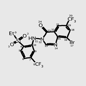 CCS(=O)(=O)c1ccc(C(F)(F)F)cc1Nn1cnc2c(Br)cc(C(F)(F)F)cc2c1=O